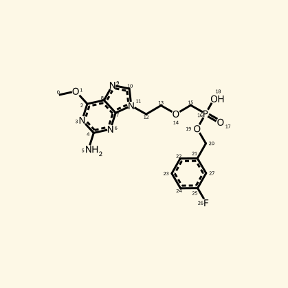 COc1nc(N)nc2c1ncn2CCOCP(=O)(O)OCc1cccc(F)c1